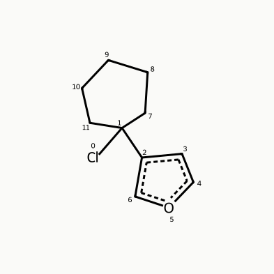 ClC1(c2ccoc2)CCCCC1